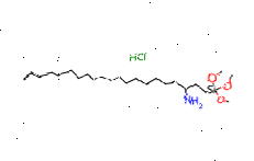 CCCCCCCCCCCCCCCCCCC(N)CC[Si](OC)(OC)OC.Cl